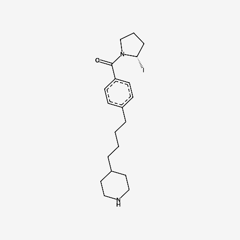 O=C(c1ccc(CCCCC2CCNCC2)cc1)N1CCC[C@@H]1I